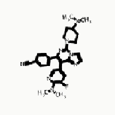 CN(C)c1ncc(-c2c(-c3ccc(C#N)cc3)nc(N3CCC(N(C)C)CC3)n3ccnc23)cc1F